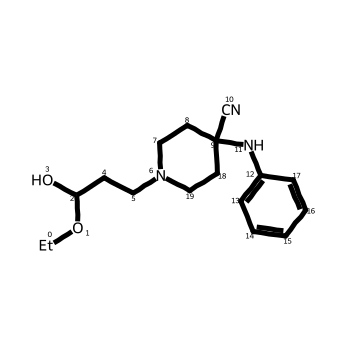 CCOC(O)CCN1CCC(C#N)(Nc2ccccc2)CC1